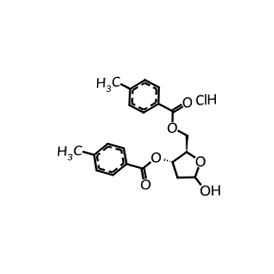 Cc1ccc(C(=O)OC[C@H]2OC(O)C[C@@H]2OC(=O)c2ccc(C)cc2)cc1.Cl